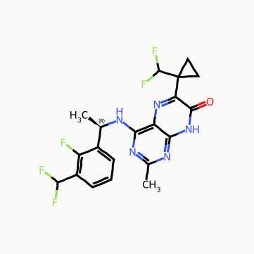 Cc1nc(N[C@H](C)c2cccc(C(F)F)c2F)c2nc(C3(C(F)F)CC3)c(=O)[nH]c2n1